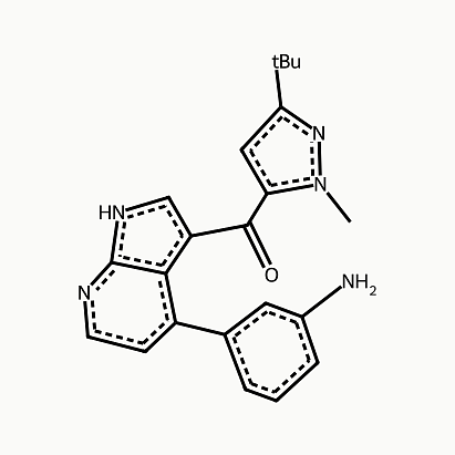 Cn1nc(C(C)(C)C)cc1C(=O)c1c[nH]c2nccc(-c3cccc(N)c3)c12